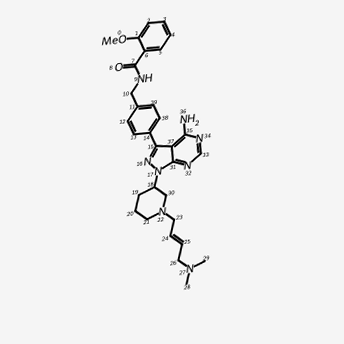 COc1ccccc1C(=O)NCc1ccc(-c2nn(C3CCCN(C/C=C/CN(C)C)C3)c3ncnc(N)c23)cc1